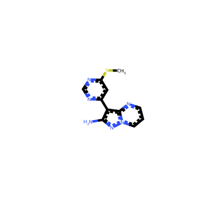 CSc1cc(-c2c(N)nn3cccnc23)ncn1